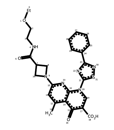 CCOCCNC(=O)C1CN(c2cc(C)c3c(=O)c(C(=O)O)cn(-c4nc(-c5ccccc5)ns4)c3n2)C1